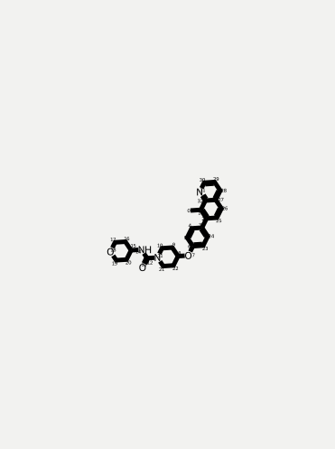 Cc1c(-c2ccc(OC3CCN(C(=O)NC4CCOCC4)CC3)cc2)ccc2cccnc12